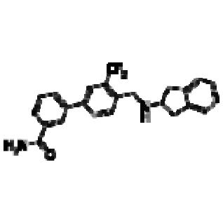 NC(=O)c1cccc(-c2ccc(CNC3Cc4ccccc4C3)c(C(F)(F)F)c2)c1